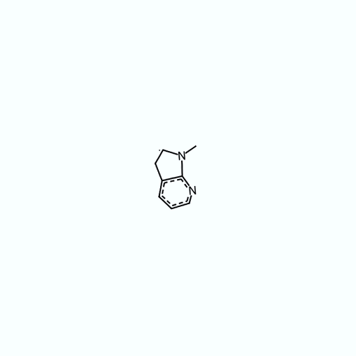 CN1[CH]Cc2cccnc21